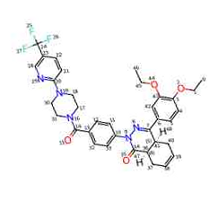 CCOc1ccc(C2=NN(c3ccc(C(=O)N4CCN(c5ccc(C(F)(F)F)cn5)CC4)cc3)C(=O)[C@@H]3CC=CC[C@H]23)cc1OCC